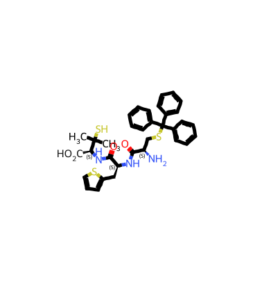 CC(C)(S)[C@@H](NC(=O)[C@H](Cc1cccs1)NC(=O)[C@H](N)CSC(c1ccccc1)(c1ccccc1)c1ccccc1)C(=O)O